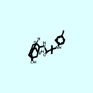 Cc1ccc(NC(C)(C)C(=O)NC2[C@@H]3CC4C[C@H]2CC(O)(C4)C3)cc1